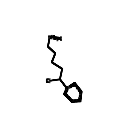 CCCCCCCCCCCC(Cl)[n+]1ccccc1